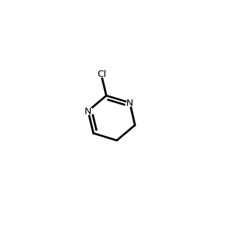 ClC1=NCCC=N1